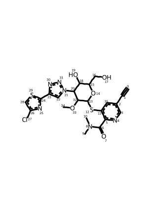 C#Cc1cnc(C(=O)N(C)C)c(SC2OC(CO)C(O)C(n3cc(-c4nc(Cl)cs4)nn3)C2OC)c1